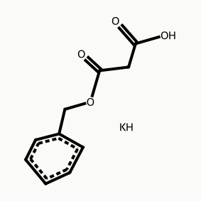 O=C(O)CC(=O)OCc1ccccc1.[KH]